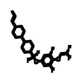 C/C=C/C1CCC(C2CCC(C(F)(F)Oc3cc(F)c(OC=C(F)F)c(F)c3)CC2)CC1